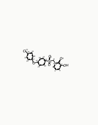 O=c1c(O)cccn1CS(=O)(=O)c1ccc(Oc2ccc(Cl)cc2)cc1